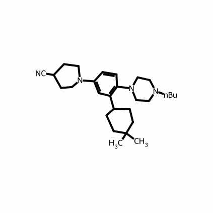 CCCCN1CCN(c2ccc(N3CCC(C#N)CC3)cc2C2CCC(C)(C)CC2)CC1